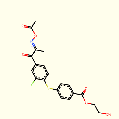 CC(=O)O/N=C(\C)C(=O)c1ccc(Sc2ccc(C(=O)OCCO)cc2)c(F)c1